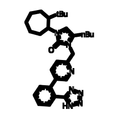 CCCCc1cn(C2CCCCCC2C(C)(C)C)c(=O)n1Cc1ccc(-c2ccccc2-c2nnn[nH]2)cn1